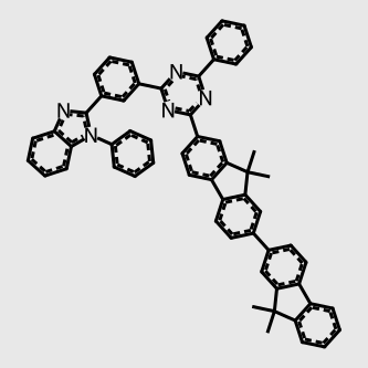 CC1(C)c2ccccc2-c2ccc(-c3ccc4c(c3)C(C)(C)c3cc(-c5nc(-c6ccccc6)nc(-c6cccc(-c7nc8ccccc8n7-c7ccccc7)c6)n5)ccc3-4)cc21